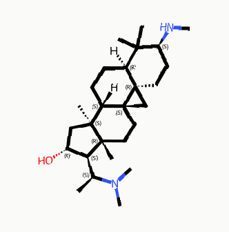 CN[C@H]1CC[C@]23C[C@]24CC[C@]2(C)[C@@H]([C@H](C)N(C)C)[C@H](O)C[C@@]2(C)[C@@H]4CC[C@H]3C1(C)C